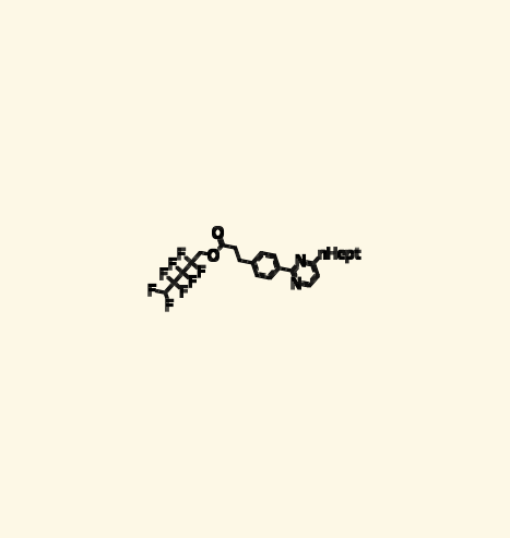 CCCCCCCc1ccnc(-c2ccc(CCC(=O)OCC(F)(F)C(F)(F)C(F)(F)C(F)F)cc2)n1